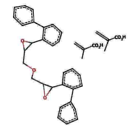 C=C(C)C(=O)O.C=C(C)C(=O)O.c1ccc(-c2ccccc2C2OC2COCC2OC2c2ccccc2-c2ccccc2)cc1